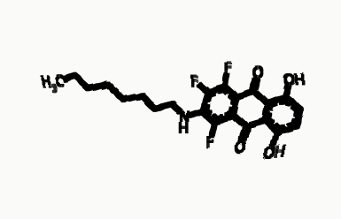 CCCCCCCCNc1c(F)c(F)c2c(c1F)C(=O)c1c(O)ccc(O)c1C2=O